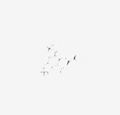 C=C(C)C(=O)OC1C(CO)C2OC(C)(C)OC2C2OC(C)(C)OC12